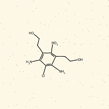 Nc1c(Cl)c(N)c(CCO)c([N+](=O)[O-])c1CCO